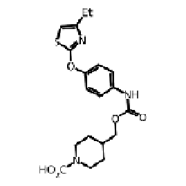 CCc1csc(Oc2ccc(NC(=O)OCC3CCN(C(=O)O)CC3)cc2)n1